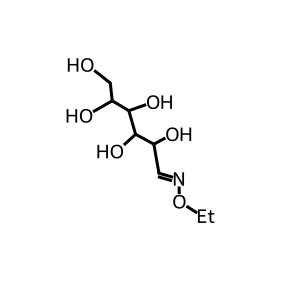 CCON=CC(O)C(O)C(O)C(O)CO